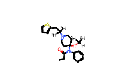 [2H]C([2H])([2H])OC1(N(C(=O)CC)c2ccccc2)CCN(C([2H])([2H])Cc2cccs2)CC1